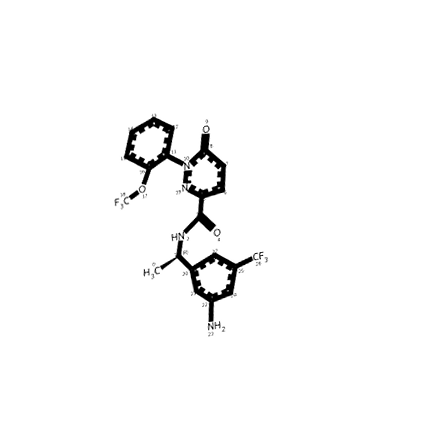 C[C@@H](NC(=O)c1ccc(=O)n(-c2ccccc2OC(F)(F)F)n1)c1cc(N)cc(C(F)(F)F)c1